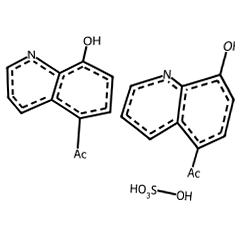 CC(=O)c1ccc(O)c2ncccc12.CC(=O)c1ccc(O)c2ncccc12.O=S(=O)(O)O